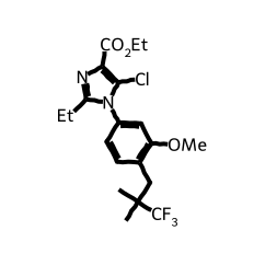 CCOC(=O)c1nc(CC)n(-c2ccc(CC(C)(C)C(F)(F)F)c(OC)c2)c1Cl